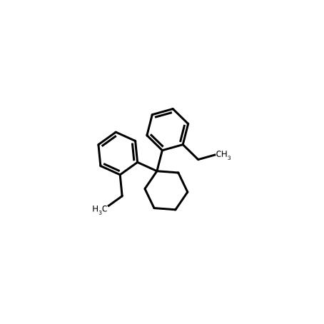 CCc1ccccc1C1(c2ccccc2CC)CCCCC1